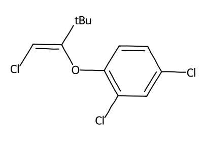 CC(C)(C)/C(=C/Cl)Oc1ccc(Cl)cc1Cl